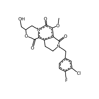 COc1c2c(c3n(c1=O)CC(CO)OC3=O)CCN(Cc1ccc(F)c(Cl)c1)C2=O